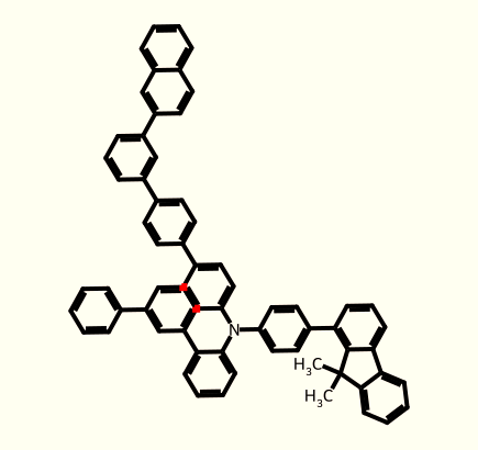 CC1(C)c2ccccc2-c2cccc(-c3ccc(N(c4ccc(-c5ccc(-c6cccc(-c7ccc8ccccc8c7)c6)cc5)cc4)c4ccccc4-c4cccc(-c5ccccc5)c4)cc3)c21